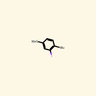 CSc1ccc(C(C)(C)C)c(I)c1